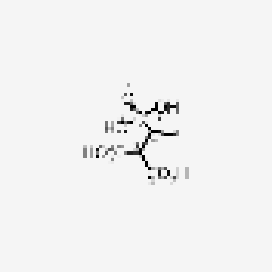 CC(C(C(=O)O)C(=O)O)P(=O)(O)O